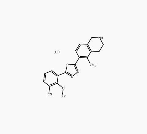 Cc1c(-c2nnc(-c3cccc(C#N)c3OC(C)C)s2)ccc2c1CCNC2.Cl